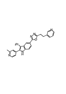 Cc1cc(-c2[nH]c3ccc(-c4nnc(CCc5cccnc5)o4)cc3c2C(C)C)ccn1